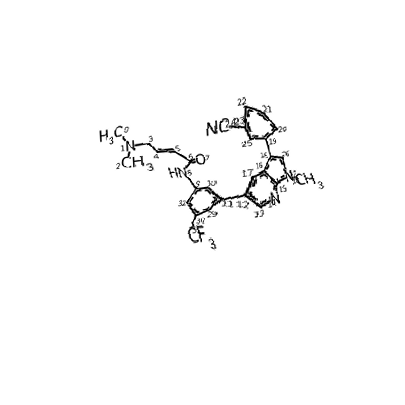 CN(C)C/C=C/C(=O)Nc1cc(-c2cnc3c(c2)c(-c2cccc(C#N)c2)cn3C)cc(C(F)(F)F)c1